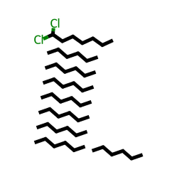 CCCCCC.CCCCCC.CCCCCC.CCCCCC.CCCCCC.CCCCCC.CCCCCC.CCCCCC.CCCCCCC(Cl)Cl